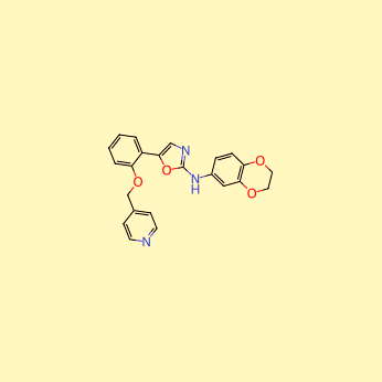 c1ccc(-c2cnc(Nc3ccc4c(c3)OCCO4)o2)c(OCc2ccncc2)c1